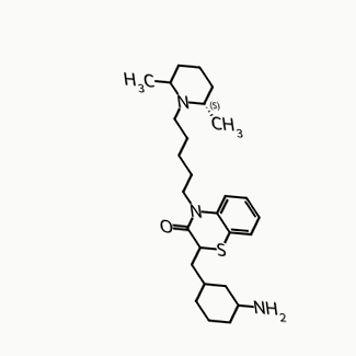 CC1CCC[C@H](C)N1CCCCCN1C(=O)C(CC2CCCC(N)C2)Sc2ccccc21